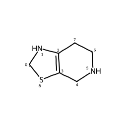 [CH]1NC2=C(CNCC2)S1